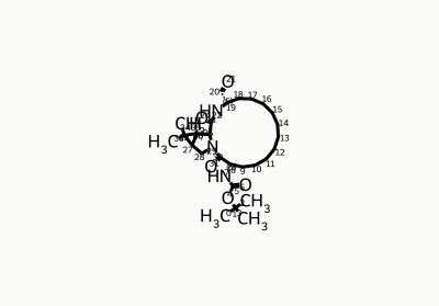 CC(C)(C)OC(=O)N[C@H]1CCCCCCCCCC[C@@H](C=O)NC(=O)C2[C@@H]3C(CN2C1=O)C3(C)C